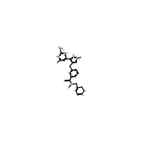 C=C(c1cccc(Cc2cn(C)nc2-c2cc(C)nc(N)n2)c1)N(C)CC1=CC=CCC1